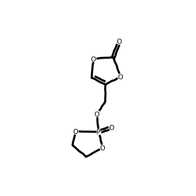 O=c1occ(COP2(=O)OCCO2)o1